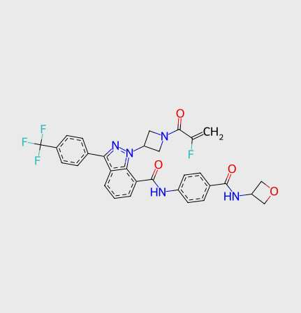 C=C(F)C(=O)N1CC(n2nc(-c3ccc(C(F)(F)F)cc3)c3cccc(C(=O)Nc4ccc(C(=O)NC5COC5)cc4)c32)C1